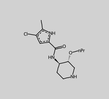 CCCO[C@@H]1CNCC[C@H]1NC(=O)c1cc(Cl)c(C)[nH]1